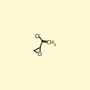 C=C(Cl)C1CO1